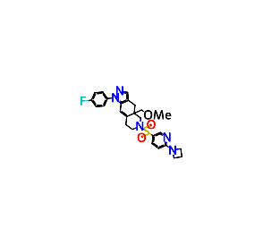 COCC12Cc3cnn(-c4ccc(F)cc4)c3C=C1CCN(S(=O)(=O)c1ccc(N3CCC3)nc1)C2